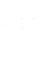 CCOC(=O)C1[C@H]2CCC[C@H]2CN1C(=O)OCc1ccccc1